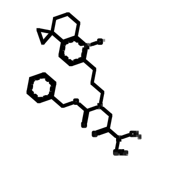 CON(C)C(=O)CN(CCCc1ccc2c([n+]1[O-])CCCC21CC1)C(=O)OCc1ccccc1